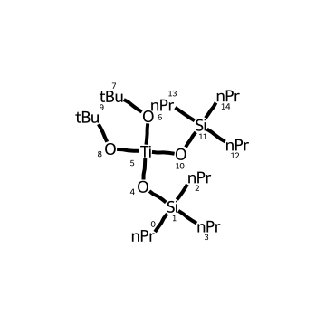 CCC[Si](CCC)(CCC)[O][Ti]([O]C(C)(C)C)([O]C(C)(C)C)[O][Si](CCC)(CCC)CCC